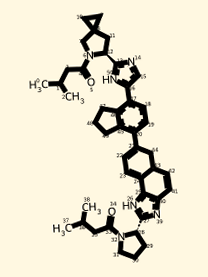 CC(C)CC(=O)N1CC2(CC2)C[C@H]1c1ncc(-c2ccc(C3=CC=C4c5[nH]c([C@@H]6CCCN6C(=O)CC(C)C)nc5C=CC4C3)c3c2CCC3)[nH]1